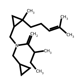 C=C(C(C)CC)N(CC1CC1)CC1CC1(C)CCC=C(C)C